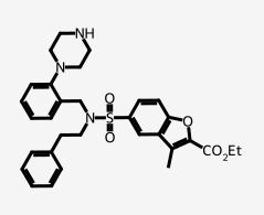 CCOC(=O)c1oc2ccc(S(=O)(=O)N(CCc3ccccc3)Cc3ccccc3N3CCNCC3)cc2c1C